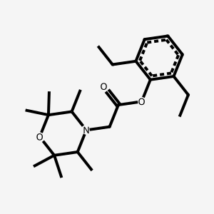 CCc1cccc(CC)c1OC(=O)CN1C(C)C(C)(C)OC(C)(C)C1C